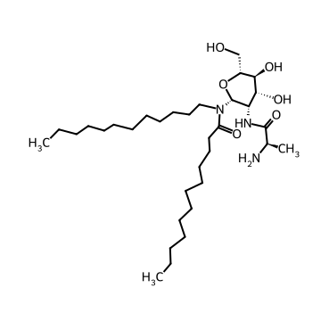 CCCCCCCCCCCCN(C(=O)CCCCCCCCCCC)[C@@H]1O[C@H](CO)[C@@H](O)[C@H](O)[C@@H]1NC(=O)[C@@H](C)N